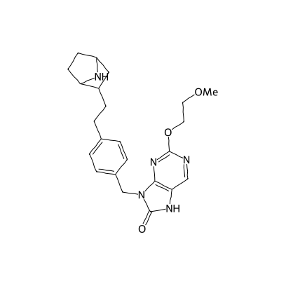 COCCOc1ncc2[nH]c(=O)n(Cc3ccc(CCC4CC5CCC4N5)cc3)c2n1